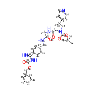 CC(NC(=O)C1C[C@@H](c2ccncc2)CN1C(=O)OC(C)(C)C)C(=O)NCc1ccc(C(=N)NC(=O)OCc2ccccc2)cc1